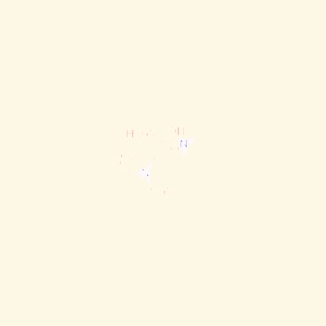 O=C1CCC(=O)N1C(Cc1ccccn1)(C(=O)O)S(=O)(=O)O